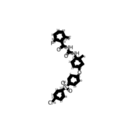 Cc1cc(Oc2ccc(S(=O)(=O)c3ccc(Cl)cc3)cc2)ccc1NC(=O)NC(=O)c1c(F)cccc1F